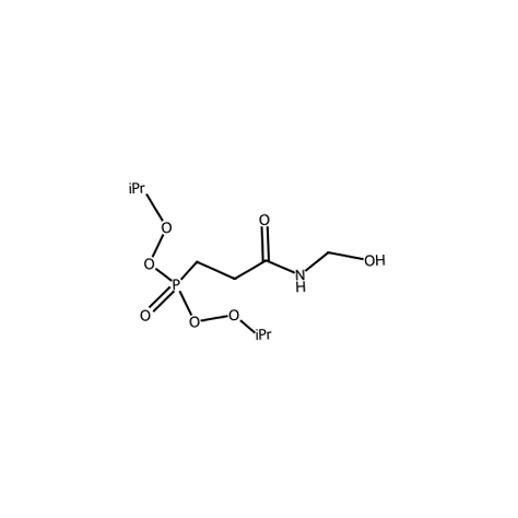 CC(C)OOP(=O)(CCC(=O)NCO)OOC(C)C